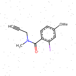 C#CCN(C)C(=O)c1ccc(OC)cc1I